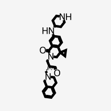 O=C[C@H](CN1CCc2ccccc2C1)CN1CC2(CC2)c2ccc(NC3CCNCC3)cc2C1=O